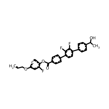 C=CCOc1ccc(OC(=O)c2ccc(-c3ccc(-c4ccc(C(C)O)cc4)c(F)c3F)cc2)c(F)c1